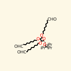 CC(C)[Si](OC[C@H]1O[C@@H](OCCCCCCCCC=O)[C@H](OCCCCCCCCC=O)[C@@H]1OCCCCCCCCC=O)(C(C)C)C(C)C